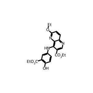 CCOC(=O)c1cc(Nc2c(C(=O)OCC)cnc3ccc(OCC)nc23)ccc1O